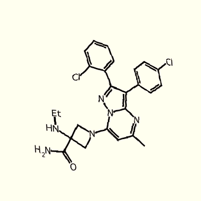 CCNC1(C(N)=O)CN(c2cc(C)nc3c(-c4ccc(Cl)cc4)c(-c4ccccc4Cl)nn23)C1